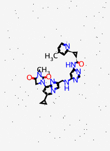 Cc1ccnc([C@H]2C[C@@H]2C(=O)Nc2cc(NCc3cn4cc(C5CC5)cc(N5CC(=O)N(C)C5=O)c4n3)ncn2)c1